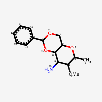 COC1C(C)OC2COC(c3ccccc3)OC2C1N